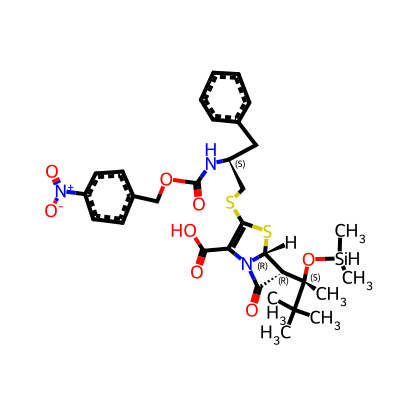 C[SiH](C)O[C@@](C)([C@@H]1C(=O)N2C(C(=O)O)=C(SC[C@H](Cc3ccccc3)NC(=O)OCc3ccc([N+](=O)[O-])cc3)S[C@H]12)C(C)(C)C